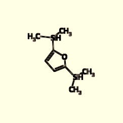 C[SiH](C)c1ccc([SiH](C)C)o1